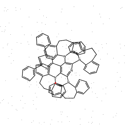 c1ccc(-c2cc(-c3ccccc3)nc(-c3c(N4c5ccccc5CCc5ccccc54)c(N4c5ccccc5CCc5ccccc54)nc(N4c5ccccc5CCc5ccccc54)c3N3c4ccccc4CCc4ccccc43)n2)cc1